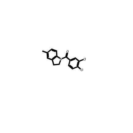 Cc1ccc2c(c1)CCN2C(=O)c1ccc(Cl)c(Cl)c1